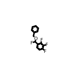 Fc1ccc(C(F)OCc2ccccc2)c(F)c1F